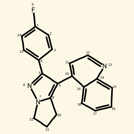 Fc1ccc(-c2nn3c(c2-c2ccnc4ccccc24)CCC3)cc1